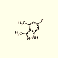 Cc1cc(F)cc2[nH]nc(C)c12